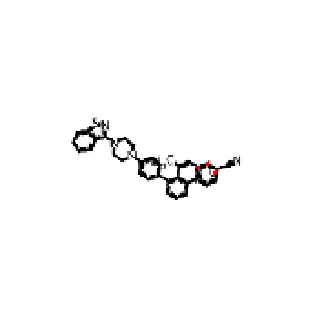 C/C(=C/NC=O)c1c(-c2ccc(C#N)cc2)cccc1-c1ccc(N2CCN(c3nsc4ccccc34)CC2)cc1